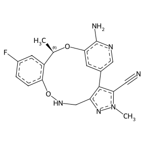 C[C@H]1Oc2cc(cnc2N)-c2c(nn(C)c2C#N)CNOc2ccc(F)cc21